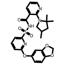 CC1CN(c2ncccc2C(=O)NS(=O)(=O)c2cccc(Oc3ccc4c(c3)OCO4)n2)C(C)(C)C1